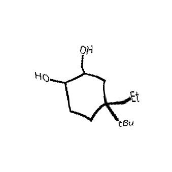 CCC1(C(C)(C)C)CCC(O)C(O)C1